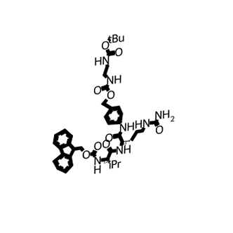 CC(C)[C@H](NC(=O)OCC1c2ccccc2-c2ccccc21)C(=O)N[C@@H](CCCNC(N)=O)C(=O)Nc1ccc(COC(=O)NCCNC(=O)OC(C)(C)C)cc1